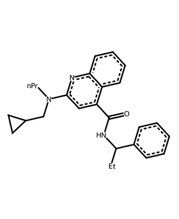 CCCN(CC1CC1)c1cc(C(=O)NC(CC)c2ccccc2)c2ccccc2n1